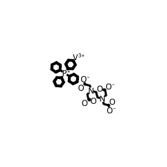 O=C([O-])CN(CCN(CC(=O)[O-])CC(=O)[O-])CC(=O)[O-].[V+3].c1ccc([P+](c2ccccc2)(c2ccccc2)c2ccccc2)cc1